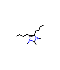 CCCCC1=C(CCCC)N(C)C(C)N1C